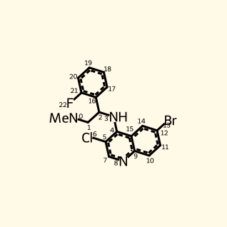 CNCC(Nc1c(Cl)cnc2ccc(Br)cc12)c1ccccc1F